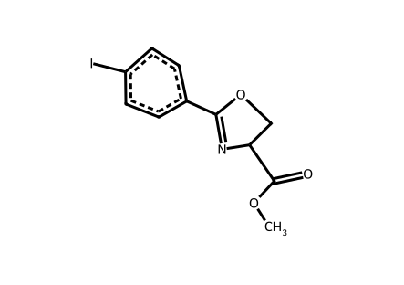 COC(=O)C1COC(c2ccc(I)cc2)=N1